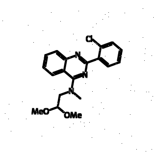 COC(CN(C)c1nc(-c2ccccc2Cl)nc2ccccc12)OC